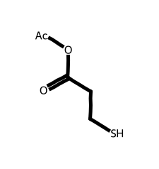 CC(=O)OC(=O)CCS